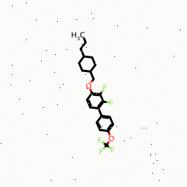 CCCC1CCC(COc2ccc(-c3ccc(OC(F)(F)F)cc3)c(F)c2F)CC1